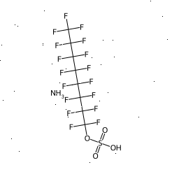 N.O=S(=O)(O)OC(F)(F)C(F)(F)C(F)(F)C(F)(F)C(F)(F)C(F)(F)C(F)(F)C(F)(F)F